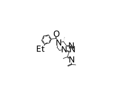 C=C(C)/N=C(\C)c1nnc2n1CCN(C(=O)c1cccc(CC)c1)[C@@H]2C